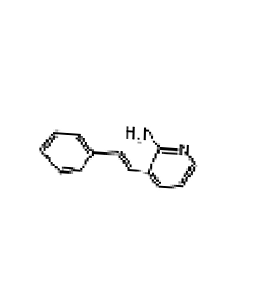 Nc1ncccc1C=Cc1ccccc1